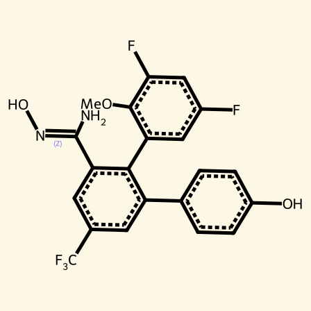 COc1c(F)cc(F)cc1-c1c(/C(N)=N/O)cc(C(F)(F)F)cc1-c1ccc(O)cc1